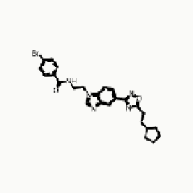 O=C(NCCn1cnc2cc(-c3noc(CCC4CCCC4)n3)ccc21)c1ccc(Br)cc1